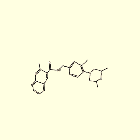 Cc1nc2ncccc2cc1C(=O)NCc1ccc(N2CC(C)OC(C)C2)c(F)c1